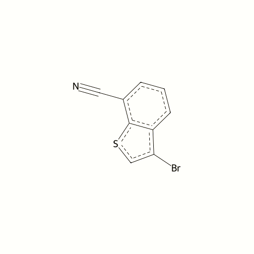 N#Cc1cccc2c(Br)csc12